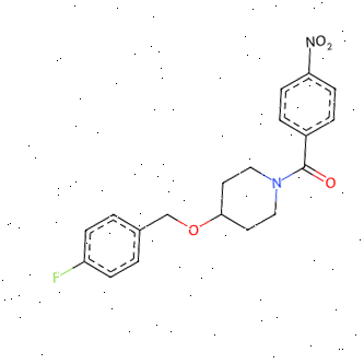 O=C(c1ccc([N+](=O)[O-])cc1)N1CCC(OCc2ccc(F)cc2)CC1